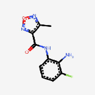 Cc1nonc1C(=O)Nc1cccc(F)c1N